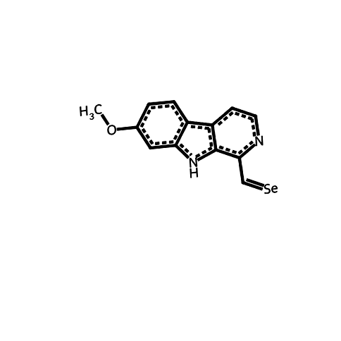 COc1ccc2c(c1)[nH]c1c(C=[Se])nccc12